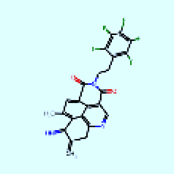 C=C1Cc2ncc3c4c(cc(C)c(c24)C1=N)C(=O)N(CCc1c(F)c(F)c(F)c(F)c1F)C3=O